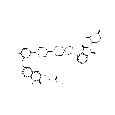 CNC(=O)COc1cc2cc(Nc3nc(N4CCC(N5CCC6(CCN(c7cccc8c7C(=O)N(C7CCC(=O)NC7=O)C8=O)C6)CC5)CC4)ncc3Cl)ccc2n(C(C)C)c1=O